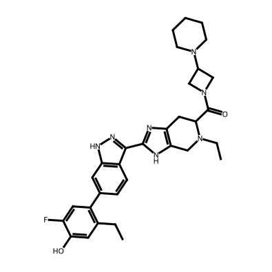 CCc1cc(O)c(F)cc1-c1ccc2c(-c3nc4c([nH]3)CN(CC)C(C(=O)N3CC(N5CCCCC5)C3)C4)n[nH]c2c1